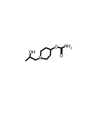 CC(O)CN1CCC(OC(N)=O)CC1